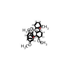 COc1ccc(OC)c(-c2c(OC)ccc(OC)c2P(=O)(c2ccccc2)c2ccccc2)c1